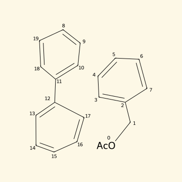 CC(=O)OCc1ccccc1.c1ccc(-c2ccccc2)cc1